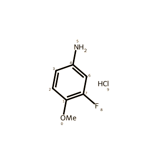 COc1ccc(N)cc1F.Cl